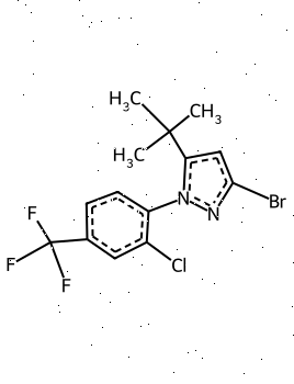 CC(C)(C)c1cc(Br)nn1-c1ccc(C(F)(F)F)cc1Cl